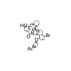 CC(=O)N1CC[C@H](Oc2ccc(Br)c3c2[C@@H](CN2Cc4ccccc4C2=O)N(C(=O)[C@@H]2CCCC[C@@H]2C(=O)O)CC3)C1